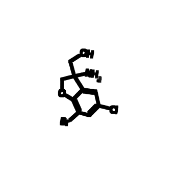 NC1(CO)COc2c(Br)cc(Cl)cc21